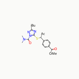 CCC(C)c1nc(SC(C(C)=O)c2ccc(C(=O)OC)cc2)n(C(=O)N(C)C)n1